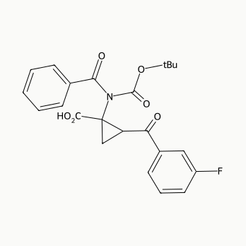 CC(C)(C)OC(=O)N(C(=O)c1ccccc1)C1(C(=O)O)CC1C(=O)c1cccc(F)c1